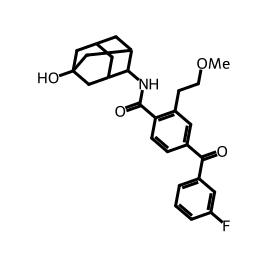 COCCc1cc(C(=O)c2cccc(F)c2)ccc1C(=O)NC1C2CC3CC1CC(O)(C3)C2